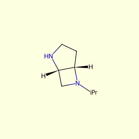 CC(C)N1C[C@@H]2NCC[C@@H]21